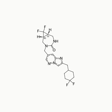 O=C1NC[C@@H]2[C@H](CN1Cc1cnn3cc(CC4CCC(F)(F)CC4)nc3c1)C2(F)F